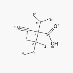 CCC(C)(C)C(C#N)(C(=O)O)C(C)C